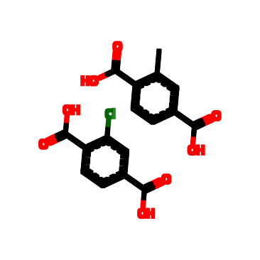 Cc1cc(C(=O)O)ccc1C(=O)O.O=C(O)c1ccc(C(=O)O)c(Cl)c1